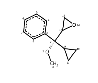 CO[C@@](c1ccccc1)(C1CC1)C1CO1